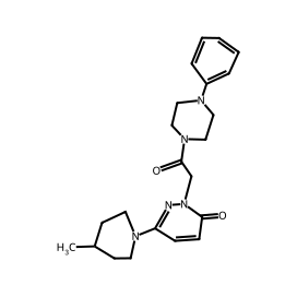 CC1CCN(c2ccc(=O)n(CC(=O)N3CCN(c4ccccc4)CC3)n2)CC1